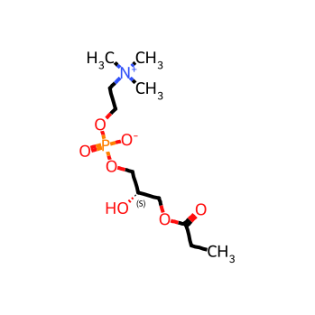 CCC(=O)OC[C@H](O)COP(=O)([O-])OCC[N+](C)(C)C